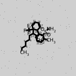 C=CC(CCCCCC)C1(C(F)(F)F)C=CC=CC1c1cccc(C)c1S(N)(=O)=O